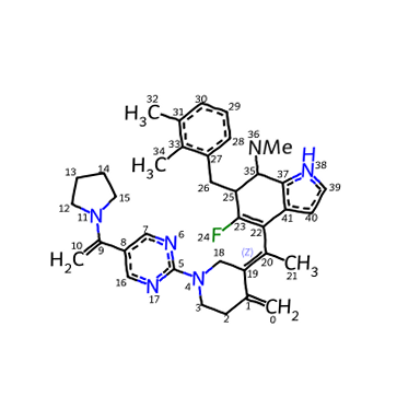 C=C1CCN(c2ncc(C(=C)N3CCCC3)cn2)C/C1=C(/C)C1=C(F)C(Cc2cccc(C)c2C)C(NC)c2[nH]ccc21